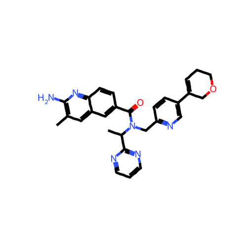 Cc1cc2cc(C(=O)N(Cc3ccc(C4=CCCOC4)cn3)C(C)c3ncccn3)ccc2nc1N